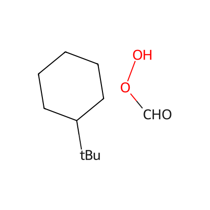 CC(C)(C)C1CCCCC1.O=COO